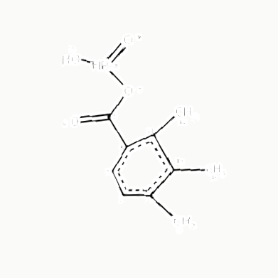 Cc1ccc(C(=O)O[PH](=O)O)c(C)c1C